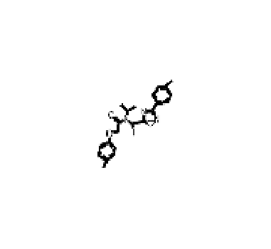 Cc1ccc(OCC(=O)N(C(C)C)C(I)c2nc(-c3ccc(C)cc3)no2)cc1